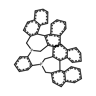 c1ccc(P2Cc3ccc4ccccc4c3-c3c(ccc4ccccc34)C2)c(P2Cc3ccc4ccccc4c3-c3c(ccc4ccccc34)C2)c1